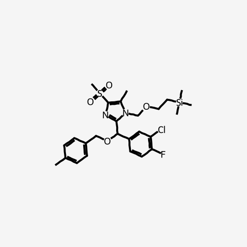 Cc1ccc(COC(c2ccc(F)c(Cl)c2)c2nc(S(C)(=O)=O)c(C)n2COCC[Si](C)(C)C)cc1